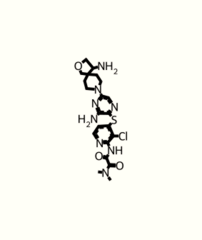 CN(C)C(=O)C(=O)Nc1nccc(Sc2ncc(N3CCC4(CC3)COCC4N)nc2N)c1Cl